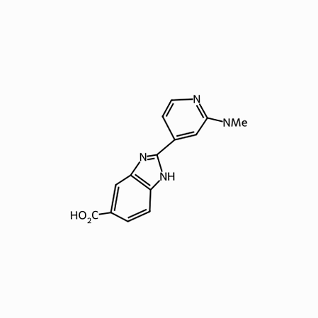 CNc1cc(-c2nc3cc(C(=O)O)ccc3[nH]2)ccn1